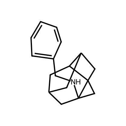 c1ccc(CNC23CC4CC5CC2(C3)C5C4)cc1